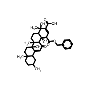 CC1CCC2(C)CCC3(C)C(=CC(=O)C4C5(C)C(C(=O)OCc6ccccc6)C=C(C(=O)O)C(C)(C)C5CCC43C)C2C1